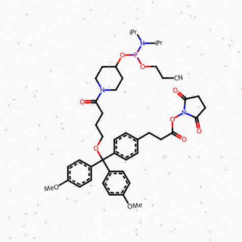 COc1ccc(C(OCCCC(=O)N2CCC(OP(OCCC#N)N(C(C)C)C(C)C)CC2)(c2ccc(CCC(=O)ON3C(=O)CCC3=O)cc2)c2ccc(OC)cc2)cc1